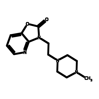 CN1CCN(CCn2c(=O)oc3cccnc32)CC1